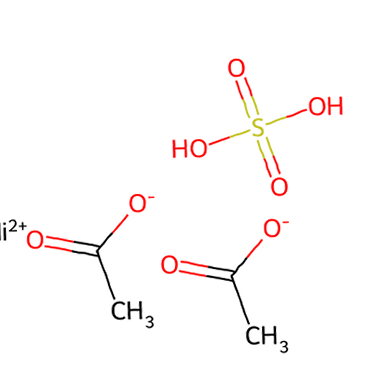 CC(=O)[O-].CC(=O)[O-].O=S(=O)(O)O.[Ni+2]